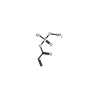 C=CC(=O)OP(=O)(CC)ON